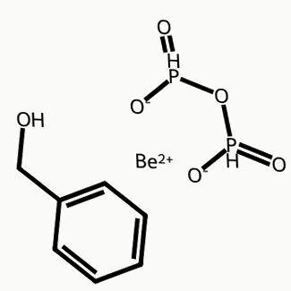 O=[PH]([O-])O[PH](=O)[O-].OCc1ccccc1.[Be+2]